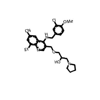 CCc1cc(C#N)cc2c(NCc3ccc(OC)c(Cl)c3)c(COCC(O)CN3CCCC3)cnc12